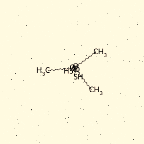 CCCCCCCCCCCCO[Si](OCCCCCCCCCCCC)(OCCCCCCCCCCCC)C(S)CCS